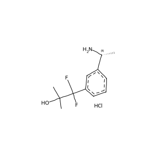 C[C@@H](N)c1cccc(C(F)(F)C(C)(C)O)c1.Cl